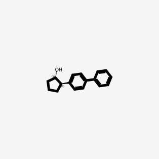 O[C@H]1CCC[C@@H]1c1ccc(-c2ccccc2)cc1